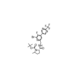 CC1CC[C@@H](C(=O)NCc2cc(-c3cnc(C(F)(F)F)nc3)c(F)c(Br)n2)N1C(=O)OC(C)(C)C